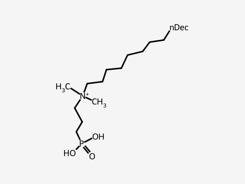 CCCCCCCCCCCCCCCCCC[N+](C)(C)CCCP(=O)(O)O